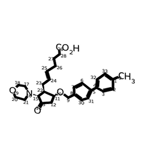 Cc1ccc(-c2ccc(CO[C@H]3CC(=O)[C@H](N4CCOCC4)[C@H]3C/C=C/CCCC(=O)O)cc2)cc1